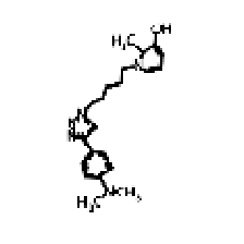 CC1C(O)=CC=CN1CCCCCn1cc(-c2ccc(N(C)C)cc2)nn1